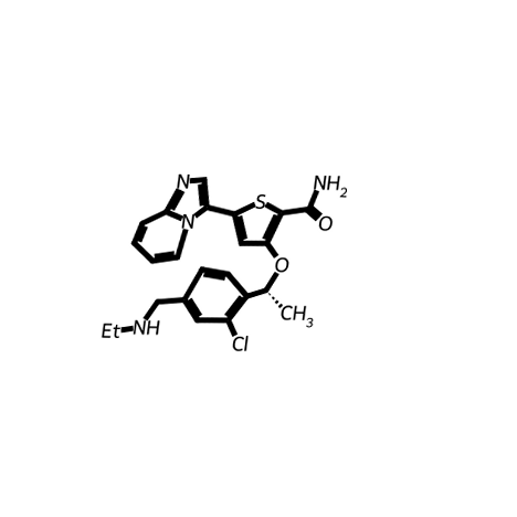 CCNCc1ccc([C@@H](C)Oc2cc(-c3cnc4ccccn34)sc2C(N)=O)c(Cl)c1